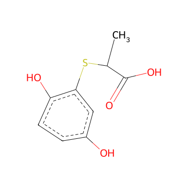 CC(Sc1cc(O)ccc1O)C(=O)O